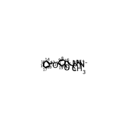 CC(N=[N+]=[N-])c1cc2ccc(OCc3ccccc3)cc2o1